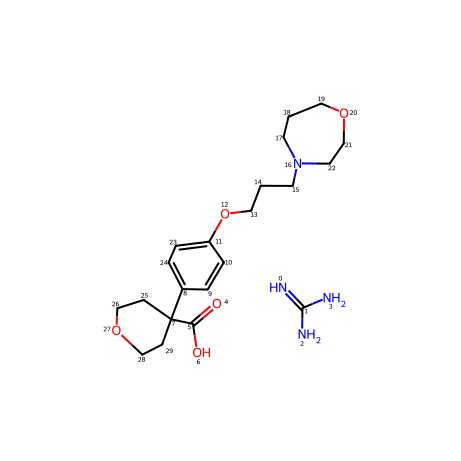 N=C(N)N.O=C(O)C1(c2ccc(OCCCN3CCCOCC3)cc2)CCOCC1